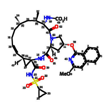 COc1cc2ccccc2c(O[C@@H]2C[C@H]3C(=O)N[C@]4(C(=O)NS(=O)(=O)C5CC5)C[C@H]4C=CCC[C@H](C)C[C@@H](C)[C@H](NC(=O)O)C(=O)N3C2)n1